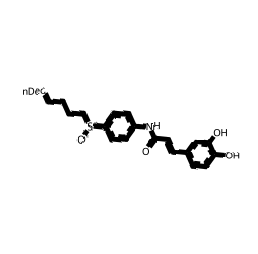 CCCCCCCCCCCCCC[S+]([O-])c1ccc(NC(=O)C=Cc2ccc(O)c(O)c2)cc1